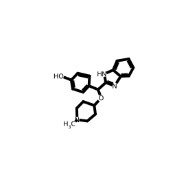 CN1CCC(OC(c2ccc(O)cc2)c2nc3ccccc3[nH]2)CC1